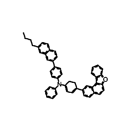 CCCCc1ccc2ccc(-c3ccc(N(C4=CC=C(c5ccc6ccc7oc8ccccc8c7c6c5)CC4)c4ccccc4)cc3)cc2c1